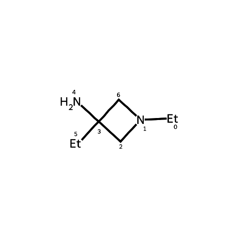 CCN1CC(N)(CC)C1